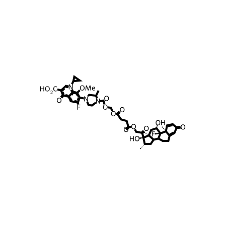 COc1c(N2CCN(C(=O)OCOC(=O)CCC(=O)OCC(=O)[C@@]3(O)[C@@H](C)CC4C5CCC6=CC(=O)C=C[C@]6(C)[C@@]5(F)[C@@H](O)C[C@@]43C)C(C)C2)c(F)cc2c(=O)c(C(=O)O)cn(C3CC3)c12